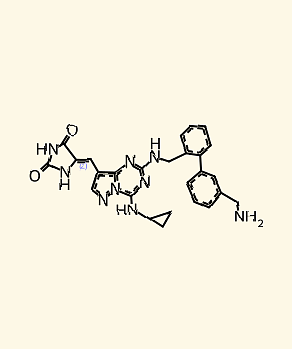 NCc1cccc(-c2ccccc2CNc2nc(NC3CC3)n3ncc(/C=C4\NC(=O)NC4=O)c3n2)c1